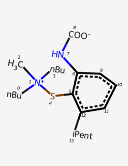 CCCC[N+](C)(CCCC)Sc1c(NC(=O)[O-])cccc1C(C)CCC